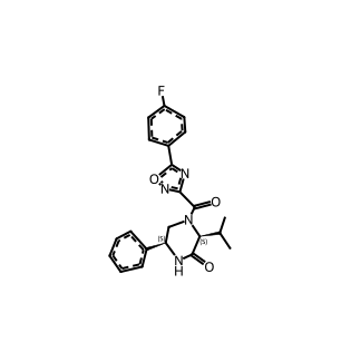 CC(C)[C@H]1C(=O)N[C@@H](c2ccccc2)CN1C(=O)c1noc(-c2ccc(F)cc2)n1